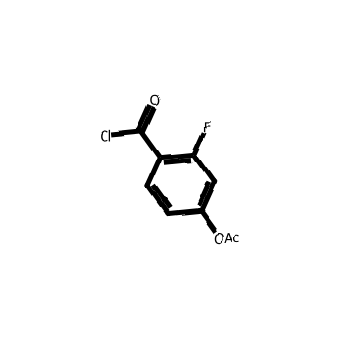 CC(=O)Oc1ccc(C(=O)Cl)c(F)c1